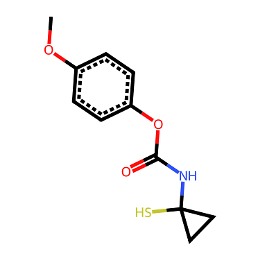 COc1ccc(OC(=O)NC2(S)CC2)cc1